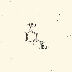 CC[C@@H](C)Oc1cccc(C(C)(C)C)c1